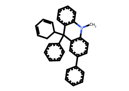 CN1c2ccccc2C(c2ccccc2)(C2C=CC=CC2)c2cc(-c3ccccc3)ccc21